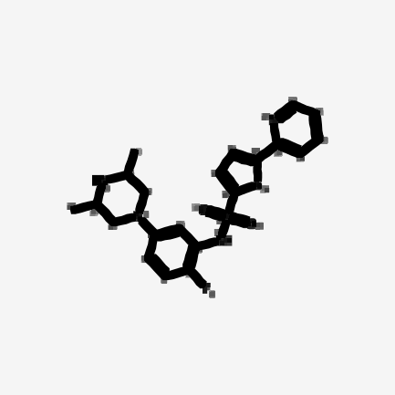 CC1CN(c2ccc(F)c(NS(=O)(=O)c3ccc(-c4ccccn4)s3)c2)CC(C)N1